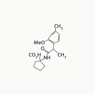 COc1cc(C)ccc1C(C)C(=O)NC1(C(=O)O)CCCC1